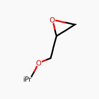 [CH2]C(C)OCC1CO1